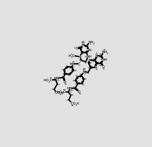 CN1c2c(nc(N)[nH]c2=O)NC[C@@H]1CNc1ccc(C(=O)NC(CCC(=O)O)C(=O)O)cc1.Nc1nc2ncc(CNc3ccc(C(=O)NC(CCC(=O)O)C(=O)O)cc3)nc2c(=O)[nH]1